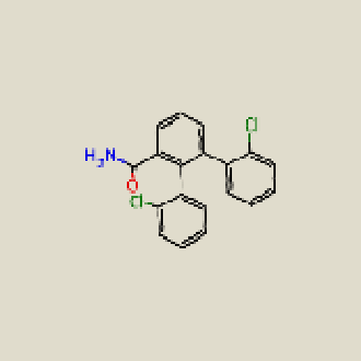 NC(=O)c1cccc(-c2ccccc2Cl)c1-c1ccccc1Cl